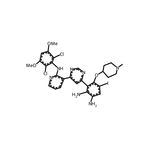 COc1cc(OC)c(Cl)c(Nc2ncccc2-c2cc(-c3c(N)c(N)cc(I)c3OC3CCN(C)CC3)ncn2)c1Cl